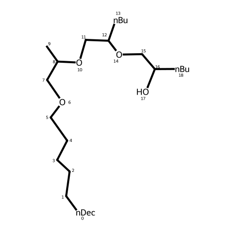 CCCCCCCCCCCCCCCOCC(C)OCC(CCCC)OCC(O)CCCC